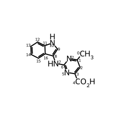 Cc1cc(C(=O)O)nc(Nc2c[nH]c3ccccc23)n1